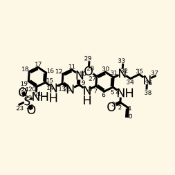 C=CC(=O)Nc1cc(Nc2nccc(Nc3ccccc3NS(C)(=O)=O)n2)c(OC)cc1N(C)CCN(C)C